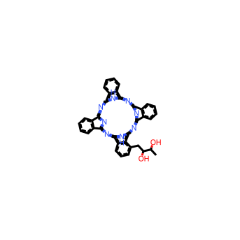 CC(O)C(O)Cc1cccc2c3nc4nc(nc5[nH]c(nc6nc(nc([nH]3)c12)-c1ccccc1-6)c1ccccc51)-c1ccccc1-4